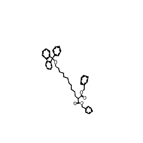 O=C(OCc1ccccc1)C(CCCCCCCCCCCOC(c1ccccc1)(c1ccccc1)c1ccccc1)C(=O)OCc1ccccc1